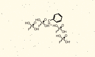 Cc1ccccc1.O=[As](O)(O)F.O=[As](O)(O)F.O=[As](O)(O)F.O=[As](O)(O)F